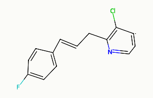 Fc1ccc(C=CCc2ncc[c]c2Cl)cc1